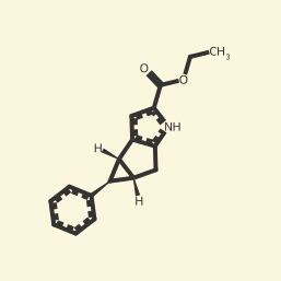 CCOC(=O)c1cc2c([nH]1)C[C@@H]1[C@@H](c3ccccc3)[C@H]21